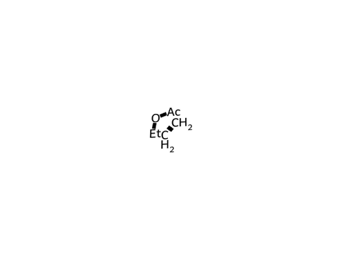 C=C.CCOC(C)=O